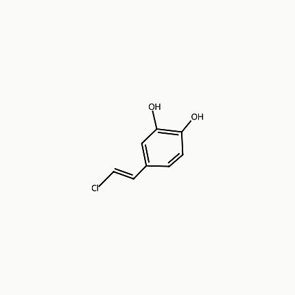 Oc1ccc(C=CCl)cc1O